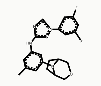 Cc1cc(Nc2ncn(-c3cc(F)cc(F)c3)n2)cc(N2C3CCC2COC3)c1